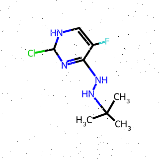 CC(C)(C)NNC1=NC(Cl)NC=C1F